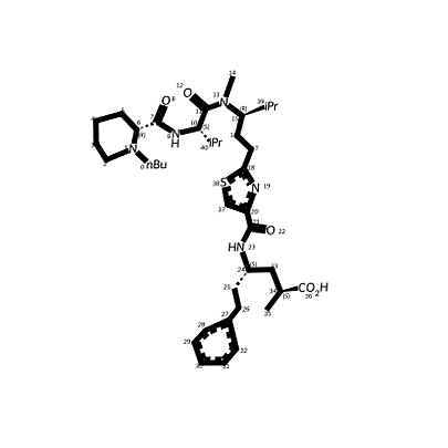 CCCCN1CCCC[C@@H]1C(=O)N[C@H](C(=O)N(C)[C@H](CCc1nc(C(=O)N[C@@H](CCc2ccccc2)C[C@H](C)C(=O)O)cs1)C(C)C)C(C)C